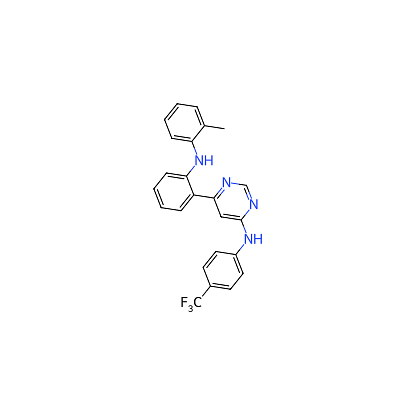 Cc1ccccc1Nc1ccccc1-c1cc(Nc2ccc(C(F)(F)F)cc2)ncn1